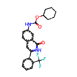 O=C(Nc1ccc2cc(-c3ccccc3C(F)(F)F)[nH]c(=O)c2c1)OC1CCCCC1